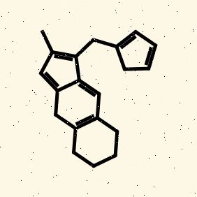 CC1=C(CC2=CC=CC2)C2=CC3=C(CCCC3)CC2=C1